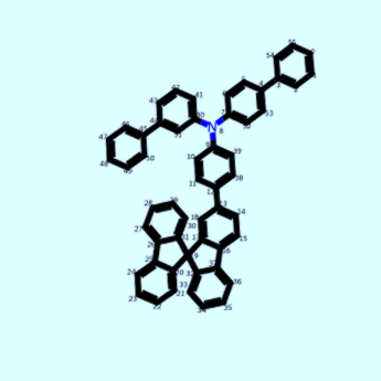 c1ccc(-c2ccc(N(c3ccc(-c4ccc5c(c4)C4(c6ccccc6-c6ccccc64)c4ccccc4-5)cc3)c3cccc(-c4ccccc4)c3)cc2)cc1